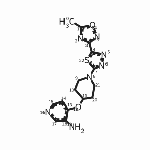 Cc1nc(-c2nnc(N3CCC(Oc4ccncc4N)CC3)s2)no1